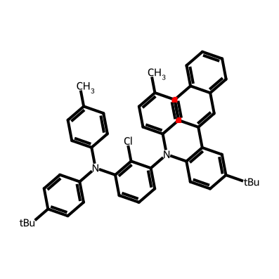 Cc1ccc(N(c2ccc(C(C)(C)C)cc2)c2cccc(N(c3ccc(C)cc3)c3ccc(C(C)(C)C)cc3-c3ccc4ccccc4c3)c2Cl)cc1